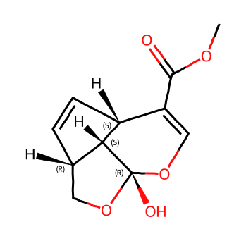 COC(=O)C1=CO[C@]2(O)OC[C@@H]3C=C[C@H]1[C@@H]32